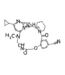 CN1CCNC(=O)COc2ccc(C#N)cc2C(=O)N2CCCC[C@H]2c2cc3nc(C4CC4)cc1n3n2